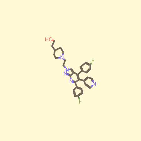 OCCC1CCN(CCn2cc3c(-c4ccc(F)cc4)c(-c4ccncc4)c(-c4ccc(F)cc4)nc3n2)CC1